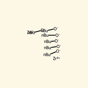 CCCC[O-].CCCC[O-].CCCC[O-].CCCC[O-].CCCC[O-].CCCC[O-].[Zn+2].[Zr+4]